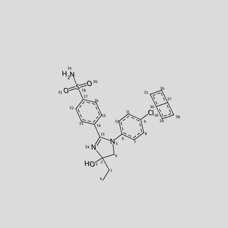 CCC1(O)CN(c2ccc(Cl)cc2)C(c2ccc(S(N)(=O)=O)cc2)=N1.c1cc2ccc1-2